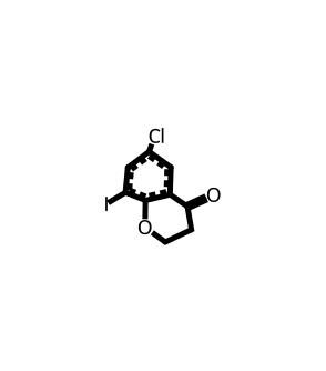 O=C1CCOc2c(I)cc(Cl)cc21